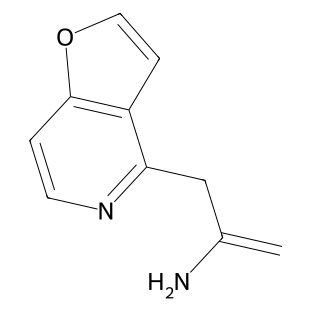 C=C(N)Cc1nccc2occc12